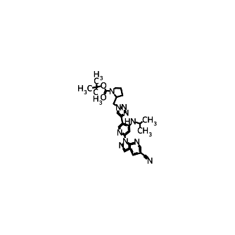 CC(C)Nc1cc(-n2ncc3cc(C#N)cnc32)ncc1-c1cn(CC2CCCN2C(=O)OC(C)(C)C)nn1